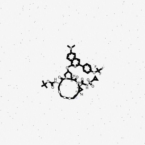 CN(C)c1ccc2c(OC3C[C@H]4C(=O)N[C@]5(C(=O)NS(=O)(=O)C6CC6)C[C@H]5/C=C\CCCOC[C@H](NC(=O)OC(C)(C)C)C(=O)N4C3)nc(-c3ccc(OC(F)(F)F)cc3)cc2c1